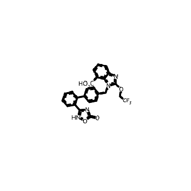 O=C(O)c1cccc2nc(OCC(F)(F)F)n(Cc3ccc(-c4ccccc4-c4nc(=O)o[nH]4)cc3)c12